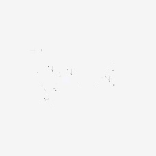 CCN(C)/C(=N/CCCN(C)C)OC(C)=O